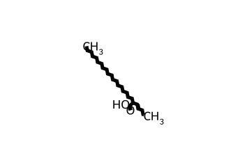 CCCC=CC(CCCCCCCCCCCCCCCCCCC)C(=O)O